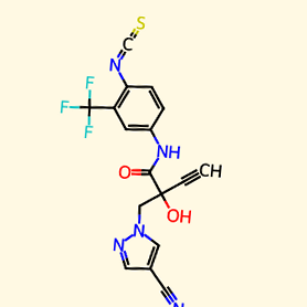 C#CC(O)(Cn1cc(C#N)cn1)C(=O)Nc1ccc(N=C=S)c(C(F)(F)F)c1